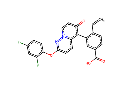 C=Cc1ccc(C(=O)O)cc1-c1c(=O)ccn2nc(Oc3ccc(F)cc3F)ccc12